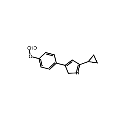 O=COc1ccc(C2=CC(C3CC3)=NC2)cc1